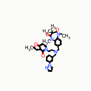 CCN1C(=O)C(C)(C)C(=O)N(C)c2cc(CN(CCn3ccc4oc(C)cc4c3=O)Cc3cccc(-n4cccn4)c3)ccc21